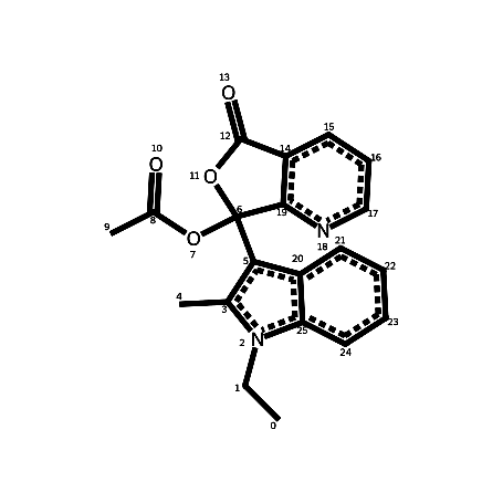 CCn1c(C)c(C2(OC(C)=O)OC(=O)c3cccnc32)c2ccccc21